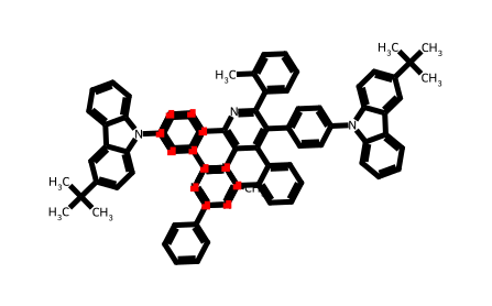 Cc1ccccc1-c1nc(-c2ccc(-n3c4ccccc4c4cc(C(C)(C)C)ccc43)cc2)c(-c2ccccc2C)c(-c2ccccc2-c2nc(-c3ccccc3)nc(-c3ccccc3)n2)c1-c1ccc(-n2c3ccccc3c3cc(C(C)(C)C)ccc32)cc1